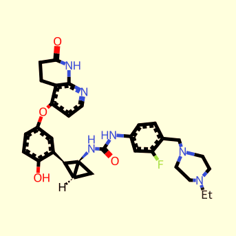 CCN1CCN(Cc2ccc(NC(=O)N[C@@]34C[C@H]3[C@H]4c3cc(Oc4ccnc5c4CCC(=O)N5)ccc3O)cc2F)CC1